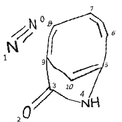 N#N.O=C1Nc2cccc1c2